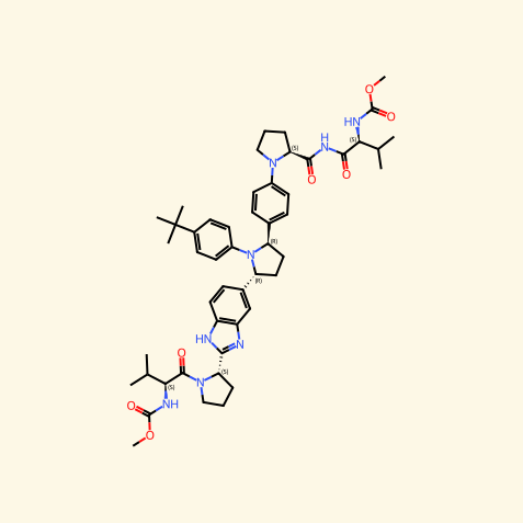 COC(=O)N[C@H](C(=O)NC(=O)[C@@H]1CCCN1c1ccc([C@H]2CC[C@H](c3ccc4[nH]c([C@@H]5CCCN5C(=O)[C@@H](NC(=O)OC)C(C)C)nc4c3)N2c2ccc(C(C)(C)C)cc2)cc1)C(C)C